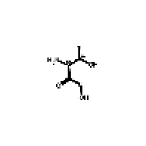 C[C@@H](O)[C@H](N)C(=O)OO